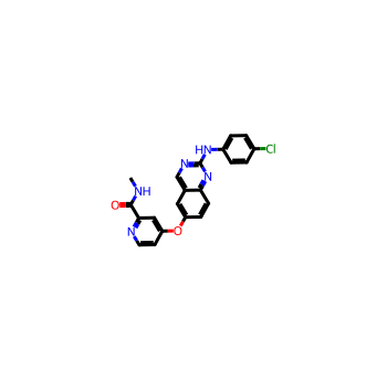 CNC(=O)c1cc(Oc2ccc3nc(Nc4ccc(Cl)cc4)ncc3c2)ccn1